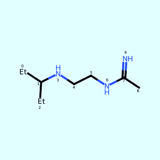 CCC(CC)NCCNC(C)=N